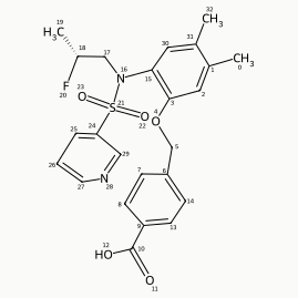 Cc1cc(OCc2ccc(C(=O)O)cc2)c(N(C[C@@H](C)F)S(=O)(=O)c2cccnc2)cc1C